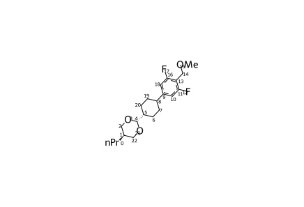 CCC[C@H]1CO[C@H](C2CCC(c3cc(F)c(COC)c(F)c3)CC2)OC1